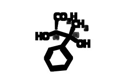 C[C@@](O)(c1ccccc1)[C@H](O)C(=O)O